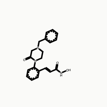 O=C(C=Cc1ccccc1N1CCN(Cc2ccccc2)CC1=O)NO